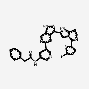 O=C(Cc1ccccc1)Nc1cncc(-c2cc3c(-c4cc5c(-c6ccc(F)s6)nccc5[nH]4)n[nH]c3cn2)c1